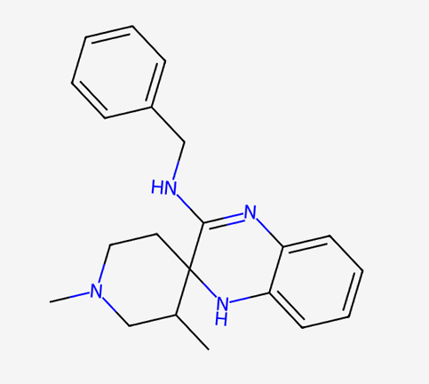 CC1CN(C)CCC12Nc1ccccc1N=C2NCc1ccccc1